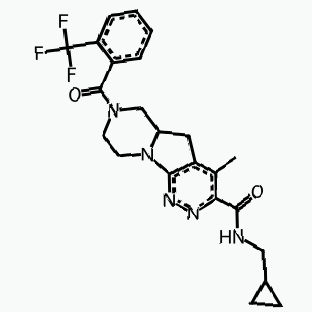 Cc1c(C(=O)NCC2CC2)nnc2c1CC1CN(C(=O)c3ccccc3C(F)(F)F)CCN21